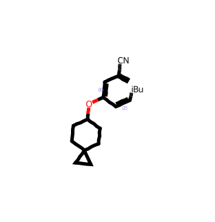 C=C(C#N)/C=C(\C=C/C(C)CC)OC1CCC2(CC1)CC2